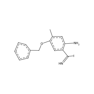 Cc1cc(N)c(C(=N)I)cc1OCc1ccccc1